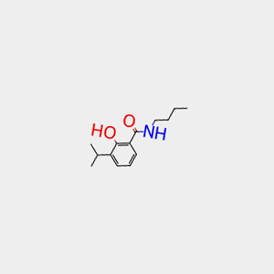 CCCCNC(=O)c1cccc(C(C)C)c1O